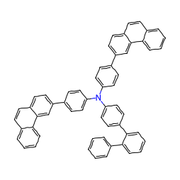 c1ccc(-c2ccccc2-c2ccc(N(c3ccc(-c4ccc5ccc6ccccc6c5c4)cc3)c3ccc(-c4ccc5ccc6ccccc6c5c4)cc3)cc2)cc1